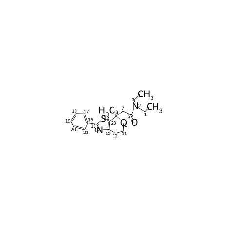 CCN(CC)C(=O)CC1(C)OCCc2nc(-c3ccccc3)sc21